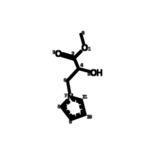 COC(=O)C(O)Cn1cccc1